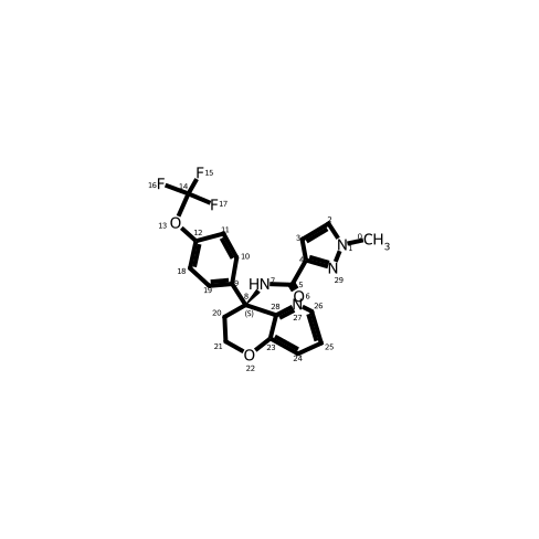 Cn1ccc(C(=O)N[C@]2(c3ccc(OC(F)(F)F)cc3)CCOc3cccnc32)n1